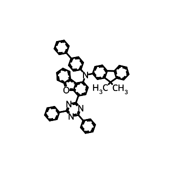 CC1(C)c2ccccc2-c2ccc(N(c3ccc(-c4ccccc4)cc3)c3ccc(-c4nc(-c5ccccc5)nc(-c5ccccc5)n4)c4oc5ccccc5c34)cc21